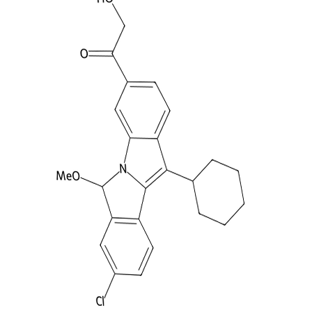 COC1c2cc(Cl)ccc2-c2c(C3CCCCC3)c3ccc(C(=O)CO)cc3n21